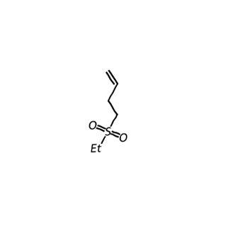 C=CCCS(=O)(=O)CC